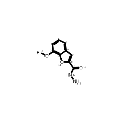 CCOc1cccc2cc(C(=O)NN)oc12